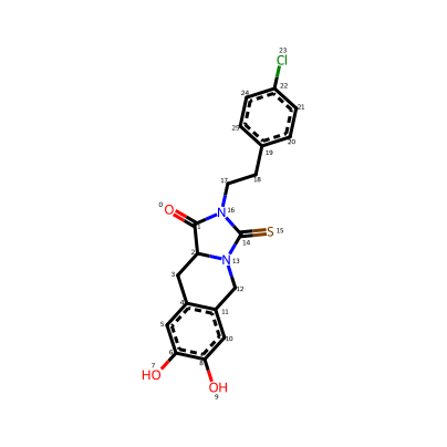 O=C1C2Cc3cc(O)c(O)cc3CN2C(=S)N1CCc1ccc(Cl)cc1